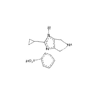 CCn1c(C2CC2)nc2c1CNC2.O=S(=O)(O)c1ccccc1